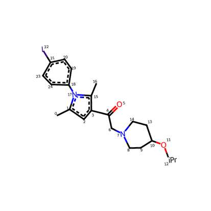 Cc1cc(C(=O)CN2CCC(OC(C)C)CC2)c(C)n1-c1ccc(I)cc1